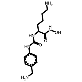 NCCCCC(NC(=O)Nc1ccc(CN)cc1)C(=O)NO